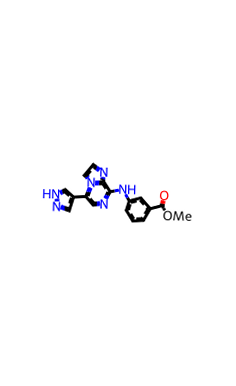 COC(=O)c1cccc(Nc2ncc(-c3cn[nH]c3)n3ccnc23)c1